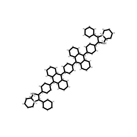 C1CCC(C2C(C3CCC(C4C5CCCCC5C(C5CCC(C6C7CCCCC7C(C7CCC(C8NC9CCCCN9C8C8CCCCC8)CC7)C7CCCCC76)CC5)C5CCCCC54)CC3)NC3CCCCN32)CC1